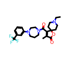 CCN1CCC2(CC1)OC(=O)C(C)=C2C(=O)N1CCCN(c2cccc(C(F)(F)F)c2)CC1